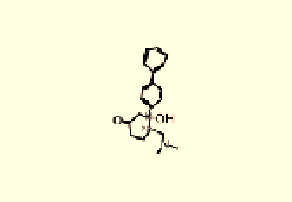 CN(C)C[C@H]1CCC(=O)C[C@@]1(O)c1ccc(-c2ccccc2)cc1